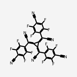 N#CC(=C1C(=C(C#N)c2c(F)c(F)c(C#N)c(F)c2F)C1=C(C#N)c1c(F)c(F)c(C#N)c(F)c1F)c1c(F)c(F)c(C#N)c(F)c1F